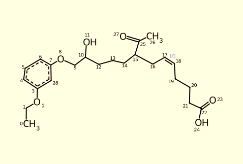 CCOc1cccc(OCC(O)CCCC(C/C=C\CCCC(=O)O)C(C)=O)c1